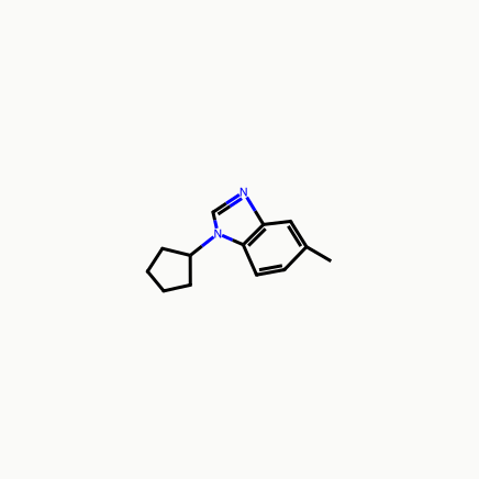 Cc1ccc2c(c1)ncn2C1CCCC1